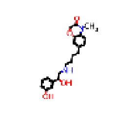 CN1C(=O)COc2cc(CCCCNCC(O)c3cccc(O)c3)ccc21